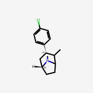 CC1C2CC[C@H](C[C@@H]1c1ccc(Cl)cc1)N2C